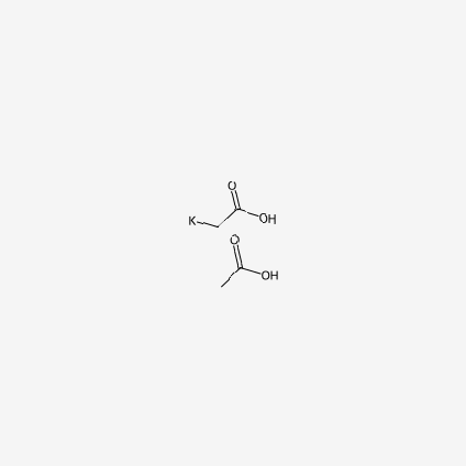 CC(=O)O.O=C(O)[CH2][K]